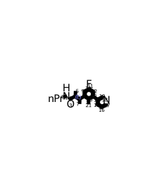 CCCNC(=O)/C(C)=C(\C)c1cc(F)cc(-c2cccnc2)c1C